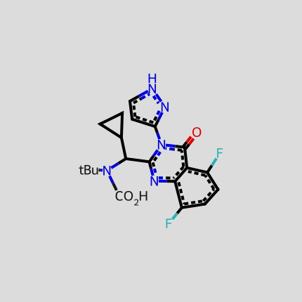 CC(C)(C)N(C(=O)O)C(c1nc2c(F)ccc(F)c2c(=O)n1-c1cc[nH]n1)C1CC1